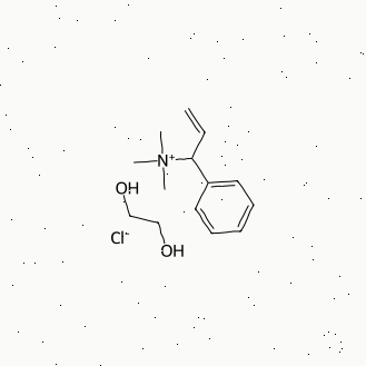 C=CC(c1ccccc1)[N+](C)(C)C.OCCO.[Cl-]